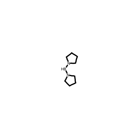 B(N1CCCC1)N1CCCC1